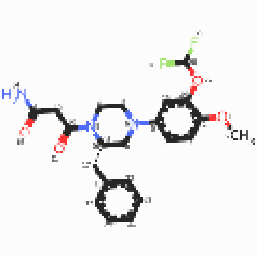 COc1ccc(N2CCN(C(=O)CC(N)=O)[C@@H](Cc3ccccc3)C2)cc1OC(F)F